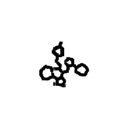 Cc1ccc(OCC(=O)N(CC2SCCC2C2CCCCCC2)C2CNNC2C2CCCCCCC2)cc1